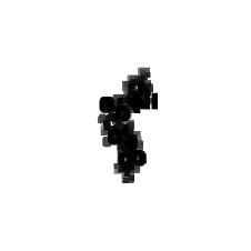 COc1ccc2c(c1CN1CCN(C(=O)OC(C)(C)C)CC1)O/C(=C\c1n[nH]c3nc(C)ccc13)C2=O